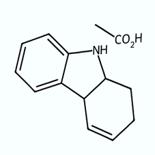 C1=CC2c3ccccc3NC2CC1.CC(=O)O